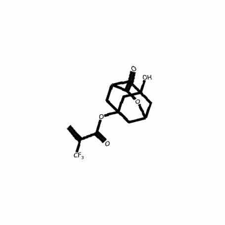 C=C(C(=O)OC12CC3CC(O)(CC(C1)C(=O)O3)C2)C(F)(F)F